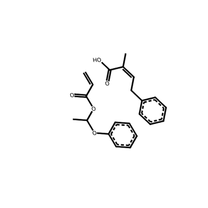 C=CC(=O)OC(C)Oc1ccccc1.CC(=CCc1ccccc1)C(=O)O